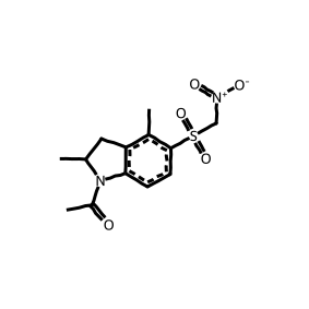 CC(=O)N1c2ccc(S(=O)(=O)C[N+](=O)[O-])c(C)c2CC1C